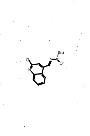 CC(C)(C)[S@+]([O-])/N=C/c1cc(Cl)nc2ccccc12